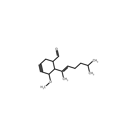 COC1C#CCC(C=O)C1C(C)=CCCC(C)C